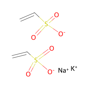 C=CS(=O)(=O)[O-].C=CS(=O)(=O)[O-].[K+].[Na+]